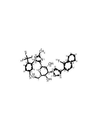 Cc1nc([C@@H]2O[C@H](CO)[C@H](O)[C@H](n3cc(-c4ccc5ccccc5c4F)nn3)[C@H]2O)n(-c2cc(Cl)ccc2C(F)(F)F)n1